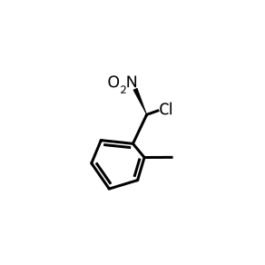 Cc1ccccc1[C@H](Cl)[N+](=O)[O-]